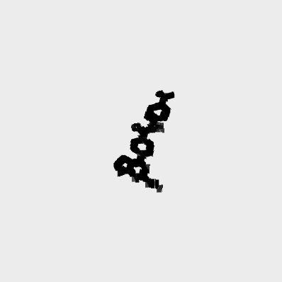 CN(C)c1ccc(NC(=O)N2CCN(c3nc(N)nc4sccc34)CC2)cc1